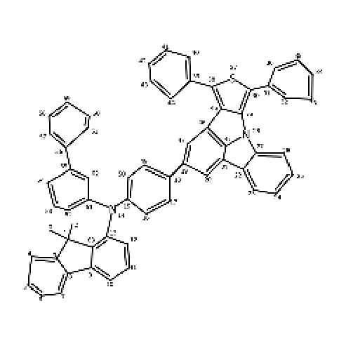 CC1(C)c2ccccc2-c2cccc(N(c3ccc(-c4cc5c6ccccc6n6c7c(-c8ccccc8)sc(-c8ccccc8)c7c(c4)c56)cc3)c3cccc(-c4ccccc4)c3)c21